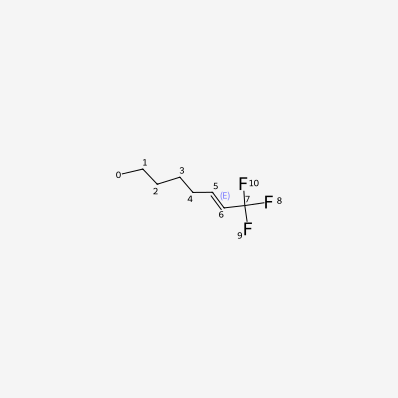 CCCCC/C=C/C(F)(F)F